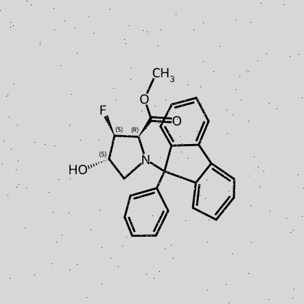 COC(=O)[C@@H]1[C@H](F)[C@@H](O)CN1C1(c2ccccc2)c2ccccc2-c2ccccc21